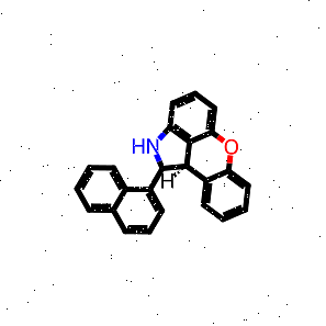 c1ccc2c(c1)Oc1cccc3c1[C@@H]2C(c1cccc2ccccc12)N3